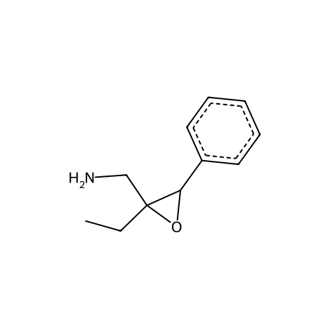 CCC1(CN)OC1c1ccccc1